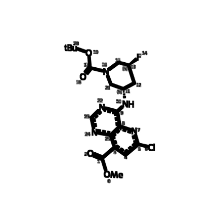 COC(=O)c1cc(Cl)nc2c(N[C@H]3C[C@H](F)CN(C(=O)OC(C)(C)C)C3)ncnc12